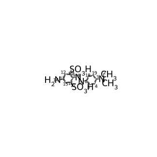 CN(C)c1ccc(N=Nc2c(S(=O)(=O)O)cc(N)cc2S(=O)(=O)O)cc1